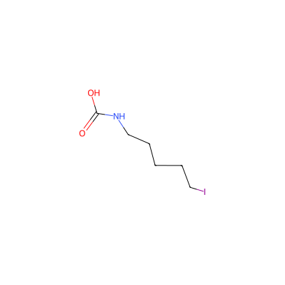 O=C(O)NCCCCCI